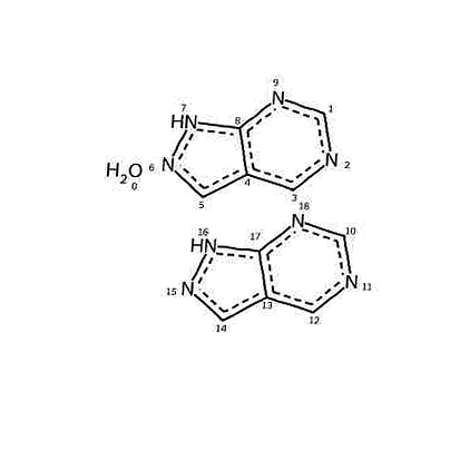 O.c1ncc2cn[nH]c2n1.c1ncc2cn[nH]c2n1